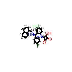 C[C@@H](NC(c1ccc(F)cc1)c1ccccc1Nc1c(O)c(=O)c1=O)c1cccc2ccccc12.Cl